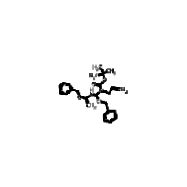 C=CCN(C(=O)OC(C)(C)C)C(NC(=C)OCc1ccccc1)OCc1ccccc1